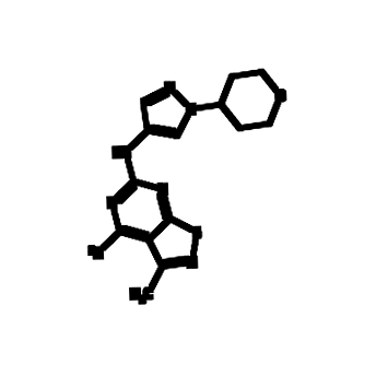 [2H]c1nc(Nc2cnn(C3CCOCC3)c2)nc2snc(C)c12